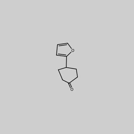 O=C1CCC(c2ccco2)CC1